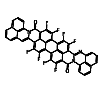 O=c1c2c(F)c(F)c3c4c(F)c(F)c5c6c(c(F)c(F)c(c7c(F)c(F)c(c2c73)c2cc3cccc7cccc(c73)n12)c46)c(=O)n1c2cccc3cccc(nc51)c32